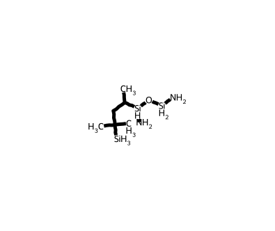 CC(CC(C)(C)[SiH3])[SiH](N)O[SiH2]N